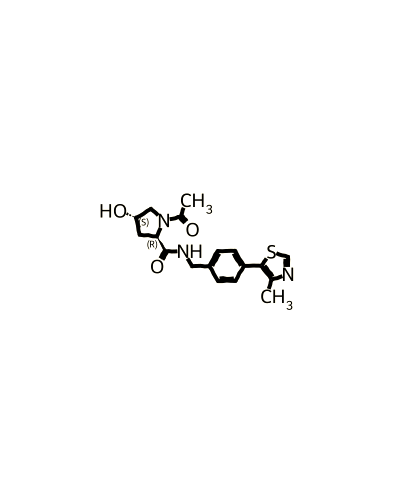 CC(=O)N1C[C@@H](O)C[C@@H]1C(=O)NCc1ccc(-c2scnc2C)cc1